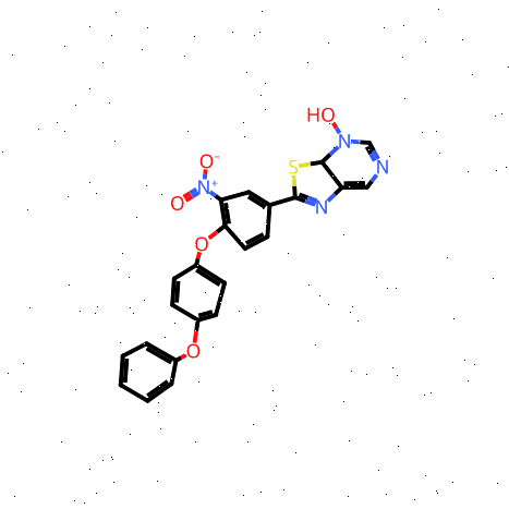 O=[N+]([O-])c1cc(C2=NC3=CN=CN(O)C3S2)ccc1Oc1ccc(Oc2ccccc2)cc1